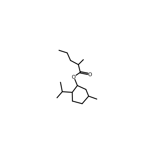 CCCC(C)C(=O)OC1CC(C)CCC1C(C)C